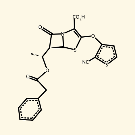 C[C@@H](OC(=O)Cc1ccccc1)[C@H]1C(=O)N2C(C(=O)O)=C(Oc3ccsc3C#N)SC12